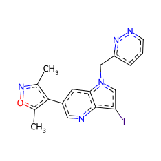 Cc1noc(C)c1-c1cnc2c(I)cn(Cc3cccnn3)c2c1